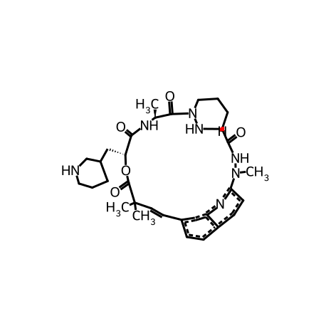 C[C@@H]1NC(=O)[C@@H](CC2CCCNC2)OC(=O)C(C)(C)/C=C/c2ccc3ccc(nc3c2)N(C)NC(=O)[C@@H]2CCCN(N2)C1=O